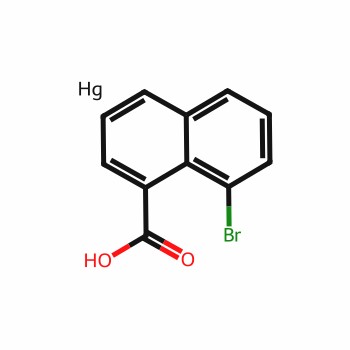 O=C(O)c1cccc2cccc(Br)c12.[Hg]